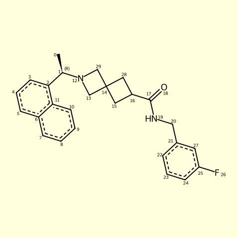 C[C@H](c1cccc2ccccc12)N1CC2(CC(C(=O)NCc3cccc(F)c3)C2)C1